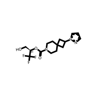 O=C(O[C@H](CO)C(F)(F)F)N1CCC2(CC1)CC(n1cccn1)C2